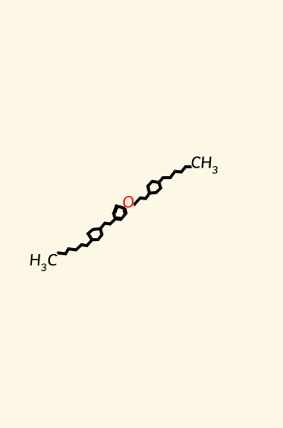 CCCCCCCC1CCC(CCCOc2ccc(CCC3CCC(CCCCCCC)CC3)cc2)CC1